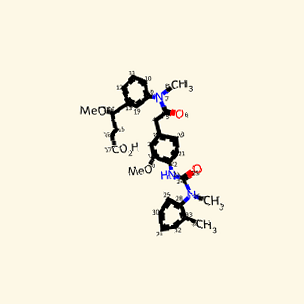 COc1cc(CC(=O)N(C)c2cccc(C(CCC(=O)O)OC)c2)ccc1NC(=O)N(C)c1ccccc1C